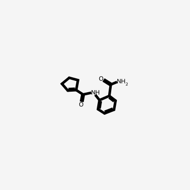 NC(=O)c1ccccc1NC(=O)C1=CCCC1